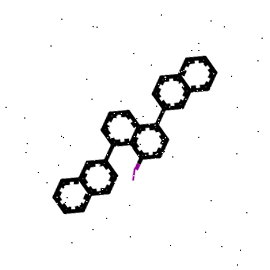 Ic1ccc(-c2ccc3ccccc3c2)c2cccc(-c3ccc4ccccc4c3)c12